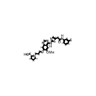 COc1cc2c(Nc3ncc(CC(=O)Nc4cccc(F)c4)s3)ncnc2cc1OCCCN1CCC[C@@H]1CO